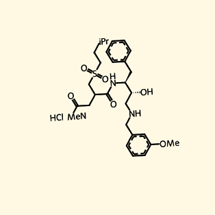 CNC(=O)CC(CS(=O)(=O)CCC(C)C)C(=O)N[C@@H](Cc1ccccc1)[C@H](O)CNCc1cccc(OC)c1.Cl